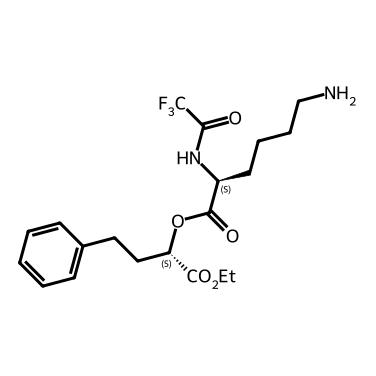 CCOC(=O)[C@H](CCc1ccccc1)OC(=O)[C@H](CCCCN)NC(=O)C(F)(F)F